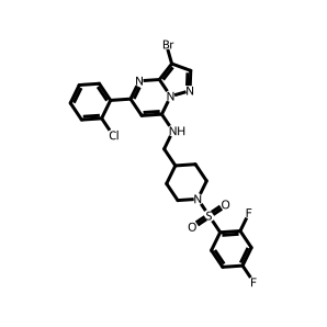 O=S(=O)(c1ccc(F)cc1F)N1CCC(CNc2cc(-c3ccccc3Cl)nc3c(Br)cnn23)CC1